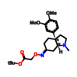 COc1ccc([C@@]23CCC(=NOCC(=O)OC(C)(C)C)C[C@@H]2N(C)CC3)cc1OC